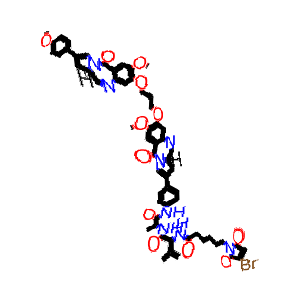 COc1ccc(C2=CN3C(=O)c4cc(OC)c(OCCCOc5cc6c(cc5OC)C(=O)N5C=C(c7ccc(NC(=O)C(C)NC(=O)C(NC(=O)CCCCCN8C(=O)C=C(Br)C8=O)C(C)C)cc7)C[C@H]5C=N6)cc4N=C[C@@H]3C2)cc1